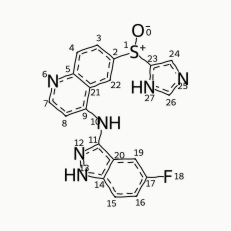 [O-][S+](c1ccc2nccc(Nc3n[nH]c4ccc(F)cc34)c2c1)c1cnc[nH]1